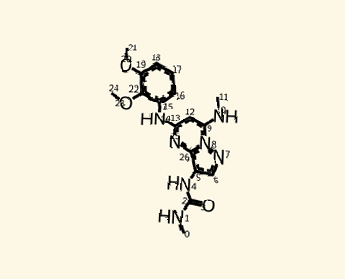 CNC(=O)Nc1cnn2c(NC)cc(Nc3cccc(OC)c3OC)nc12